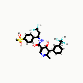 CC1=NC=C(C(=O)NC(CC(F)F)c2ccc(S(C)(=O)=O)cc2)C(=O)C1c1cccc(C(F)(F)F)c1